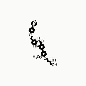 COc1cc(-c2ccc3c(c2)Nc2ccc(CCOc4ccc(N5CCOCC5)cc4)cc2NC3=O)ccc1OCCC(O)CO